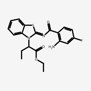 CCOC(=O)C(CC)n1c(=NC(=O)c2ccc(F)cc2N)sc2ccccc21